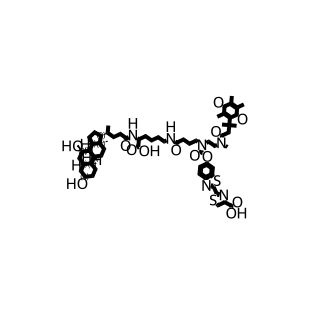 CC1=C(C)C(=O)C(C(C)(C)CC(=O)N(C)CCN(CCCC(=O)NCCCCC(NC(=O)CCC(C)[C@H]2CC[C@H]3[C@@H]4[C@H](O)C[C@@H]5C[C@H](O)CC[C@]5(C)[C@H]4CC[C@]23C)C(=O)O)C(=O)Oc2ccc3nc(C4=NC(C(=O)O)CS4)sc3c2)=C(C)C1=O